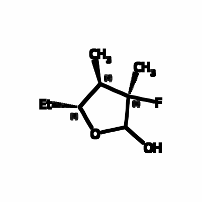 CC[C@H]1OC(O)[C@](C)(F)[C@@H]1C